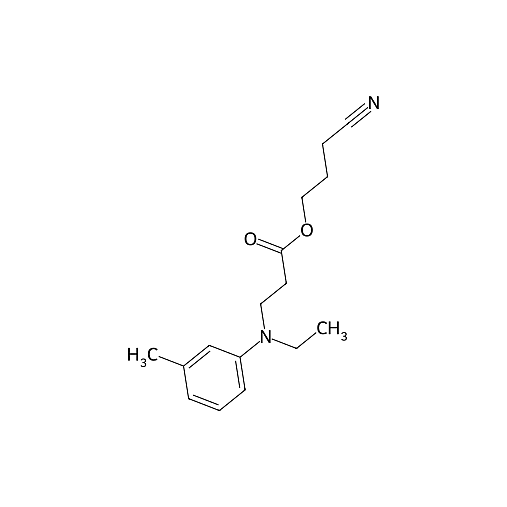 CCN(CCC(=O)OCCCC#N)c1cccc(C)c1